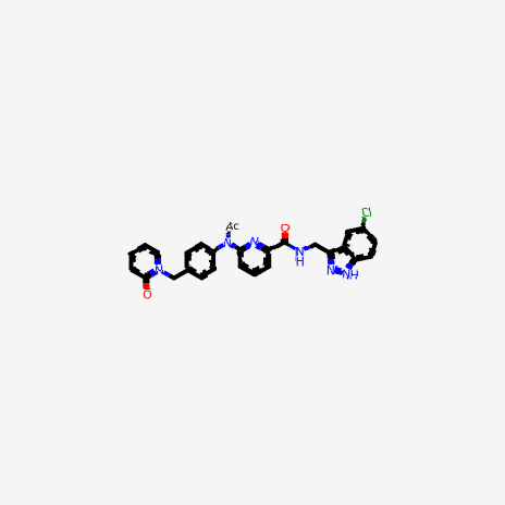 CC(=O)N(c1ccc(Cn2ccccc2=O)cc1)c1cccc(C(=O)NCc2n[nH]c3ccc(Cl)cc23)n1